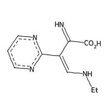 CCN/C=C(\C(=N)C(=O)O)c1ncccn1